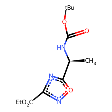 CCOC(=O)c1noc([C@H](C)NC(=O)OC(C)(C)C)n1